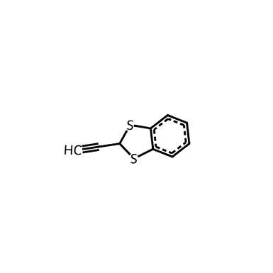 C#CC1Sc2ccccc2S1